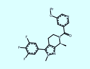 CC(C)Oc1cncc(C(=O)N2CCc3c(nn(C)c3-c3cc(F)c(F)c(F)c3)[C@@H]2C)c1